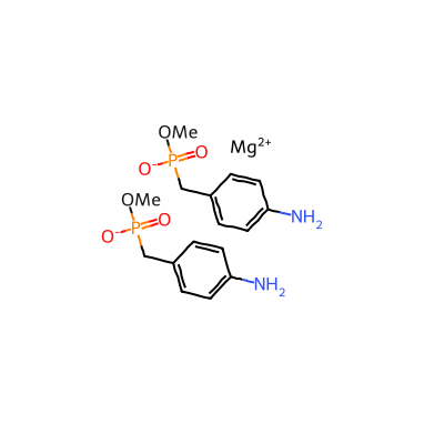 COP(=O)([O-])Cc1ccc(N)cc1.COP(=O)([O-])Cc1ccc(N)cc1.[Mg+2]